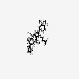 CC(C)=CCn1c(N2CCCC(N)C2)nc2c1c(=O)n(CC(=O)c1nccs1)c(=O)n2C